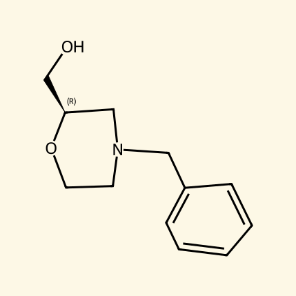 OC[C@H]1CN(Cc2ccccc2)CCO1